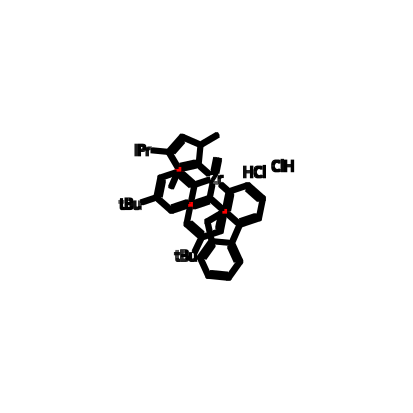 Cl.Cl.[CH2]=[Zr]([C]1=C(C)C(C(C)C)=CC1C)([c]1ccc(C(C)(C)C)cc1)([c]1ccc(C(C)(C)C)cc1)[c]1cccc2c1Cc1ccccc1-2